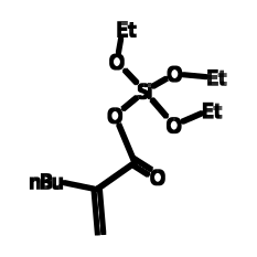 C=C(CCCC)C(=O)O[Si](OCC)(OCC)OCC